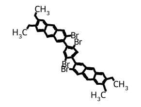 CCc1cc2cc3cc(Br)c(-c4cc(Br)c(-c5cc6cc7cc(CC)c(CC)cc7cc6cc5Br)cc4Br)cc3cc2cc1CC